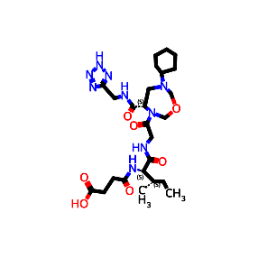 CC[C@H](C)[C@H](NC(=O)CCC(=O)O)C(=O)NCC(=O)N1COCN(C2CCCCC2)C[C@H]1C(=O)NCc1nn[nH]n1